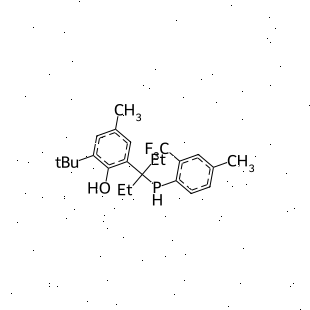 CCC(CC)(Pc1ccc(C)cc1C(F)(F)F)c1cc(C)cc(C(C)(C)C)c1O